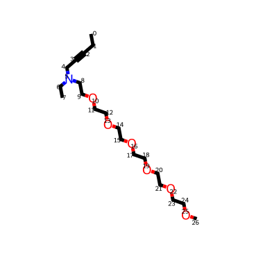 CCC#CCN(CC)CCOCCOCCOCCOCCOCCOC